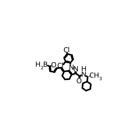 Bc1ccc(/C=C2\CCCc3c(C(=O)N[C@H](C)C4CCCCC4)nn(-c4ccc(Cl)cc4Cl)c32)o1